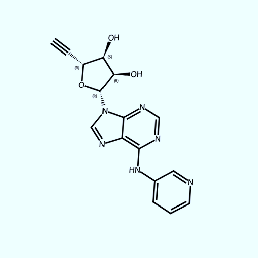 C#C[C@H]1O[C@@H](n2cnc3c(Nc4cccnc4)ncnc32)[C@H](O)[C@@H]1O